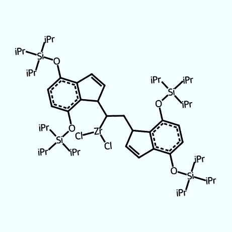 CC(C)[Si](Oc1ccc(O[Si](C(C)C)(C(C)C)C(C)C)c2c1C=CC2C[CH](C1C=Cc2c(O[Si](C(C)C)(C(C)C)C(C)C)ccc(O[Si](C(C)C)(C(C)C)C(C)C)c21)[Zr]([Cl])[Cl])(C(C)C)C(C)C